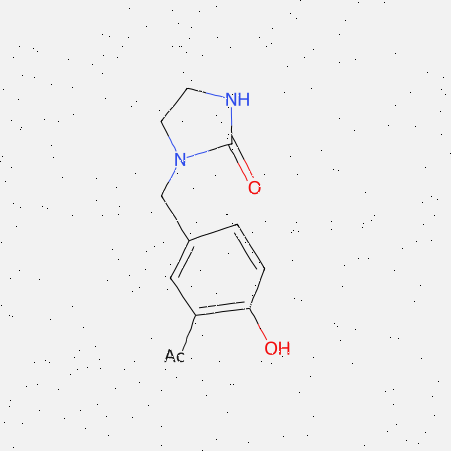 CC(=O)c1cc(CN2CCNC2=O)ccc1O